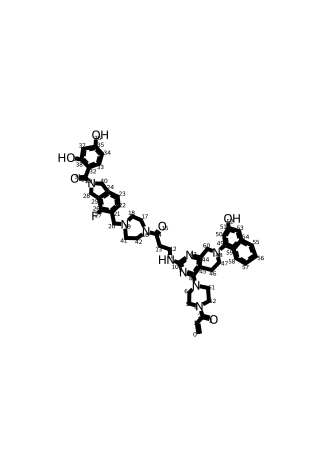 C=CC(=O)N1CCN(c2nc(NCCC(=O)N3CCN(Cc4ccc5c(c4F)CN(C(=O)c4ccc(O)cc4O)C5)CC3)nc3c2CCN(c2cc(O)cc4ccccc24)C3)CC1